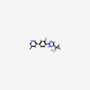 Cc1[c]ncc(-c2ccc(-c3ncc(C4(C(F)(F)F)CC4)[nH]3)c(F)c2)c1